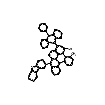 Cc1cccc(-c2c3ccccc3c(-c3ccc4sc5ccccc5c4c3)c3ccccc23)c1-c1ccc(-c2c3ccccc3c(-c3ccccc3)c3ccccc23)cc1S